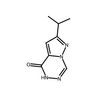 CC(C)c1cc2c(=O)[nH]ncn2n1